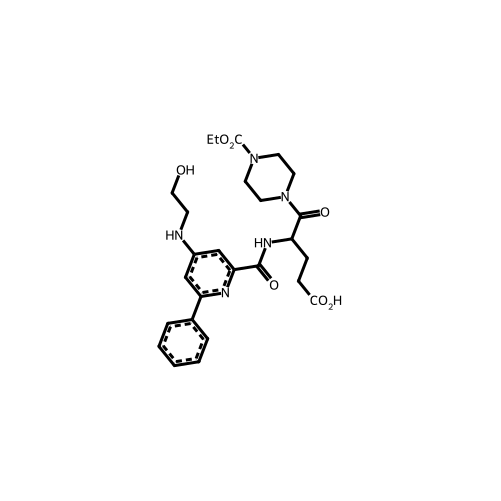 CCOC(=O)N1CCN(C(=O)C(CCC(=O)O)NC(=O)c2cc(NCCO)cc(-c3ccccc3)n2)CC1